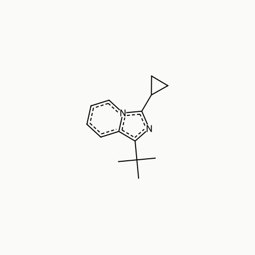 CC(C)(C)c1nc(C2CC2)n2ccccc12